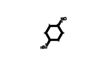 CCCCC1CCC(N=O)CC1